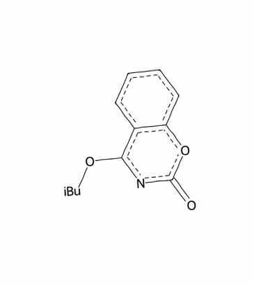 CCC(C)Oc1nc(=O)oc2ccccc12